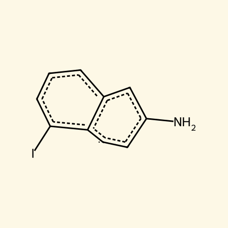 Nc1c[c]c2c(I)cccc2c1